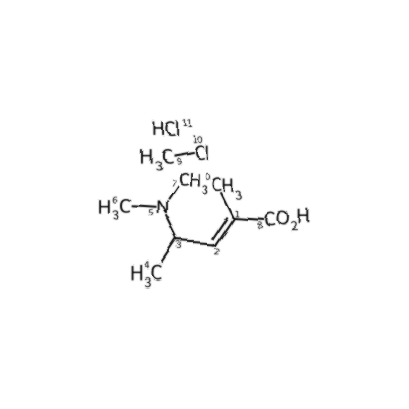 CC(=CC(C)N(C)C)C(=O)O.CCl.Cl